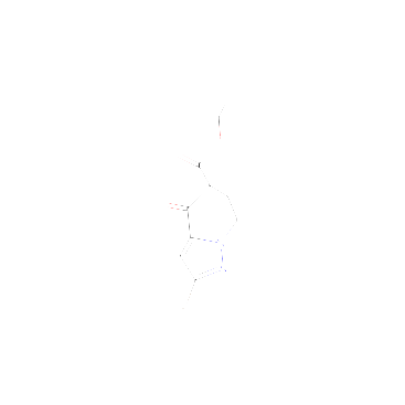 CCOC(=O)C1CCn2nc(Br)cc2C1=O